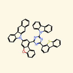 c1ccc2cc3c(cc2c1)c1ccccc1n3-c1cc(-c2nc(-c3cccc4c3sc3ccccc34)nc(-n3c4ccccc4c4ccccc43)n2)c2c(c1)oc1ccccc12